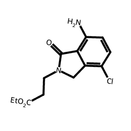 CCOC(=O)CCN1Cc2c(Cl)ccc(N)c2C1=O